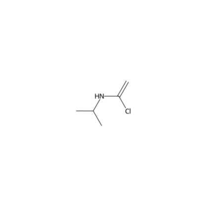 C=C(Cl)NC(C)C